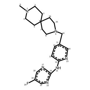 CN1CCC2(CC1)CCN(Cc1ccc(Nc3ncc(F)cn3)nc1)CC2